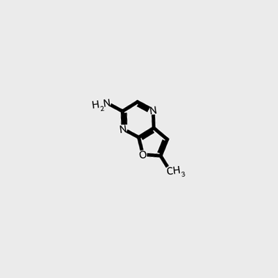 Cc1cc2ncc(N)nc2o1